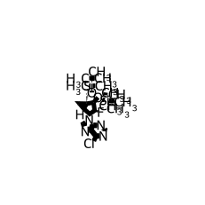 CC(C)(C)[Si](C)(C)OC[C@@]12C[C@@H]1[C@@H](n1cnc3c(Cl)ncnc31)[C@H](F)C2O[Si](C)(C)C(C)(C)C